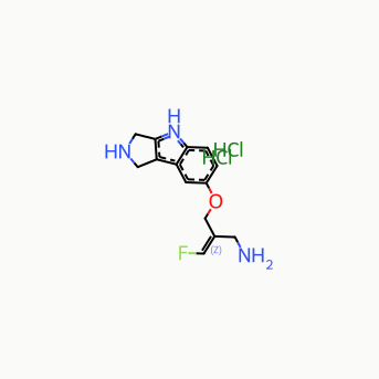 Cl.Cl.NC/C(=C/F)COc1ccc2[nH]c3c(c2c1)CNC3